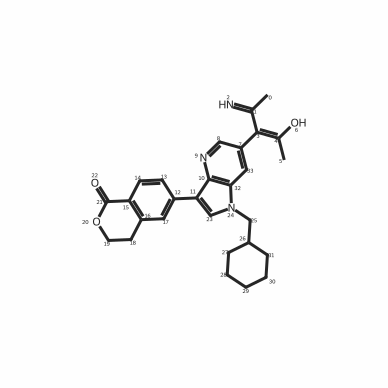 CC(=N)/C(=C(/C)O)c1cnc2c(-c3ccc4c(c3)CCOC4=O)cn(CC3CCCCC3)c2c1